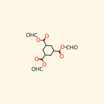 O=COC(=O)C1CC(C(=O)OC=O)CC(C(=O)OC=O)C1